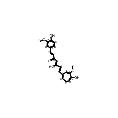 COC1=CC(/C=C/C(O)=C/C(=O)/C=C/c2ccc(O)c(OC)c2)=CCC=C1O